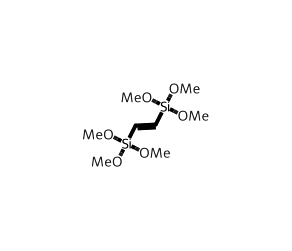 CO[Si](C=C[Si](OC)(OC)OC)(OC)OC